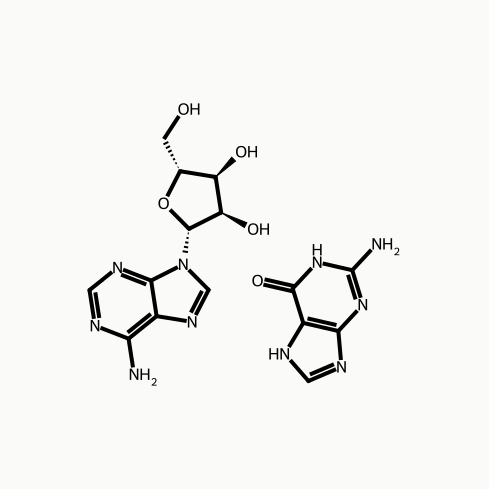 Nc1nc2nc[nH]c2c(=O)[nH]1.Nc1ncnc2c1ncn2[C@@H]1O[C@H](CO)[C@@H](O)[C@H]1O